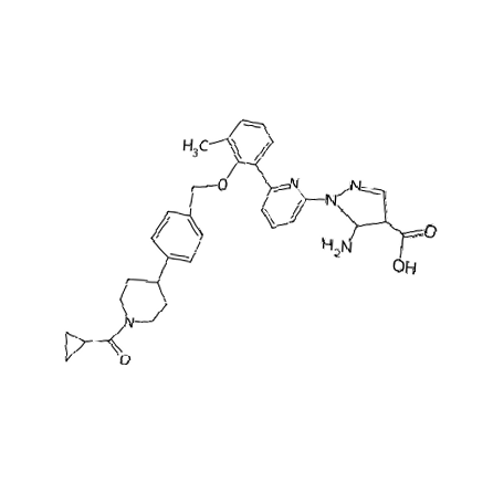 Cc1cccc(-c2cccc(N3N=CC(C(=O)O)C3N)n2)c1OCc1ccc(C2CCN(C(=O)C3CC3)CC2)cc1